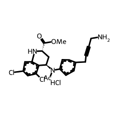 COC(=O)[C@@H]1C[C@@H](N(C(C)=O)c2ccc(CC#CCN)cc2)c2c(Cl)cc(Cl)cc2N1.Cl